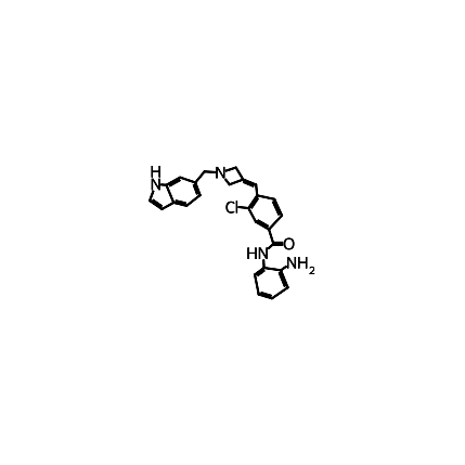 Nc1ccccc1NC(=O)c1ccc(C=C2CN(Cc3ccc4cc[nH]c4c3)C2)c(Cl)c1